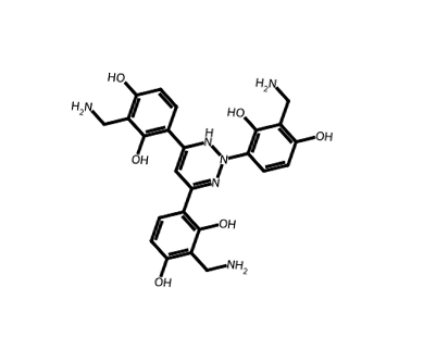 NCc1c(O)ccc(C2=CC(c3ccc(O)c(CN)c3O)=NN(c3ccc(O)c(CN)c3O)N2)c1O